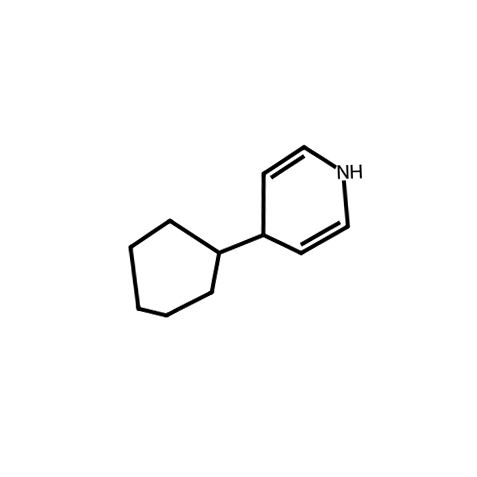 C1=CC(C2CCCCC2)C=CN1